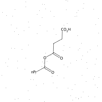 CCCC(=O)OC(=O)CCC(=O)O